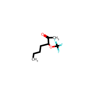 CCCCC(OC(F)(F)F)C(C)=O